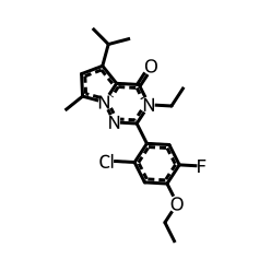 CCOc1cc(Cl)c(-c2nn3c(C)cc(C(C)C)c3c(=O)n2CC)cc1F